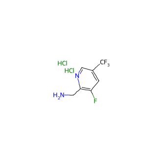 Cl.Cl.NCc1ncc(C(F)(F)F)cc1F